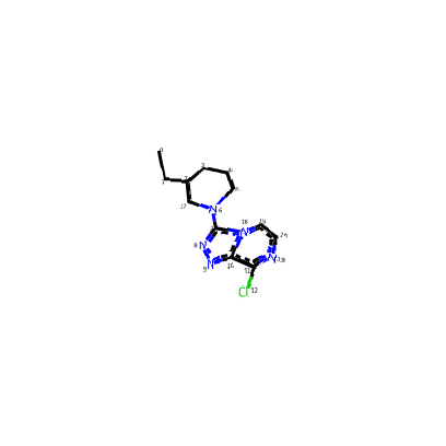 CCC1CCCN(c2nnc3c(Cl)nccn23)C1